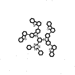 c1ccc(-c2nc(-c3ccccc3)nc(-c3cc(-n4c5ccc(-c6cccc7c6sc6ccccc67)cc5c5cc(-c6cccc7c6sc6ccccc67)ccc54)cc(-n4c5ccc(-c6cccc7c6sc6ccccc67)cc5c5cc(-c6cccc7c6sc6ccccc67)ccc54)c3)n2)cc1